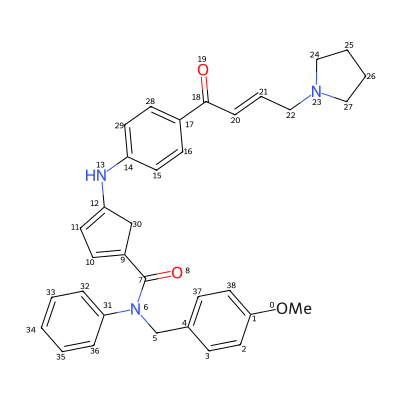 COc1ccc(CN(C(=O)C2=CC=C(Nc3ccc(C(=O)/C=C/CN4CCCC4)cc3)C2)c2ccccc2)cc1